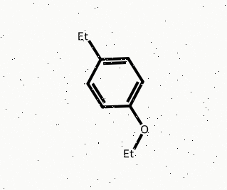 CCOc1c[c]c(CC)cc1